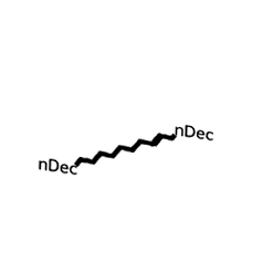 [CH2]CCCCCCCCCCC=CCCCCCCCCCCCCCCCC[CH2]